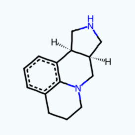 c1cc2c3c(c1)[C@H]1CNC[C@H]1CN3CCC2